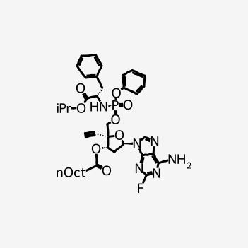 C#C[C@]1(CO[P@@](=O)(N[C@@H](Cc2ccccc2)C(=O)OC(C)C)Oc2ccccc2)O[C@@H](n2cnc3c(N)nc(F)nc32)C[C@@H]1OC(=O)CCCCCCCC